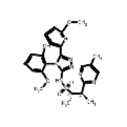 COC1=NC(c2nnc(NS(=O)(=O)[C@@H](C)[C@H](C)c3ncc(C)cn3)n2-c2c(O)cccc2OC)=C=C=C1